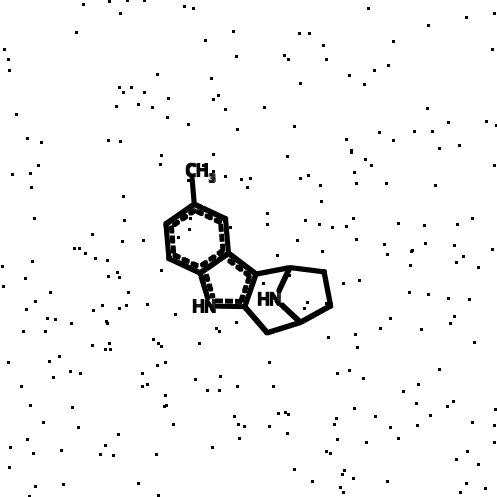 Cc1ccc2[nH]c3c(c2c1)C1CCC(C3)N1